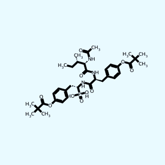 CC[C@H](C)[C@H](NC(C)=O)C(=O)N[C@@H](Cc1ccc(OC(=O)C(C)(C)C)cc1)C(=O)N[C@@H](Cc1ccc(OC(=O)C(C)(C)C)cc1)P(=O)(O)O